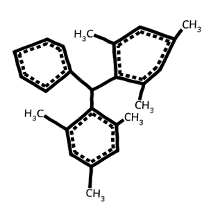 Cc1cc(C)c(C(c2ccccc2)c2c(C)cc(C)cc2C)c(C)c1